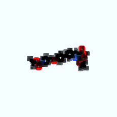 COC(=O)[C@H](Cc1ccc(-c2ccc(OCC3CCN(C(=O)OC(C)C)CC3)cc2)cc1)NC(=O)OC(C)(C)C